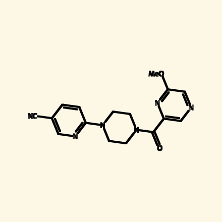 COc1cncc(C(=O)N2CCN(c3ccc(C#N)cn3)CC2)n1